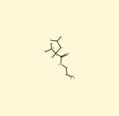 CC(C)CC(C)(C(=O)OCCN)C(C)C